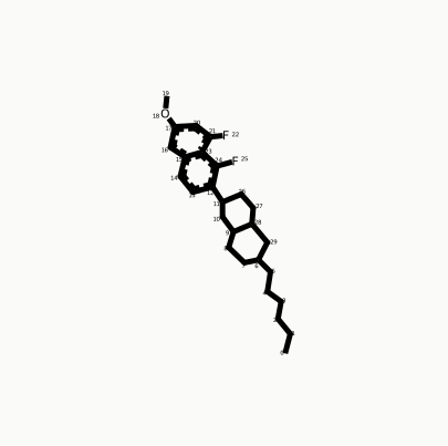 CCCCCCC1CCC2CC(c3ccc4cc(OC)cc(F)c4c3F)CCC2C1